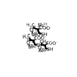 CCCCOC(C)C(CS)C(=O)[O-].CCCCOC(C)C(CS)C(=O)[O-].CCCCOC(C)C(CS)C(=O)[O-].[Sb+3]